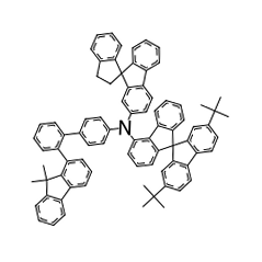 CC(C)(C)c1ccc2c(c1)C1(c3cc(C(C)(C)C)ccc3-2)c2ccccc2-c2c(N(c3ccc(-c4ccccc4-c4cccc5c4C(C)(C)c4ccccc4-5)cc3)c3ccc4c(c3)C3(CCc5ccccc53)c3ccccc3-4)cccc21